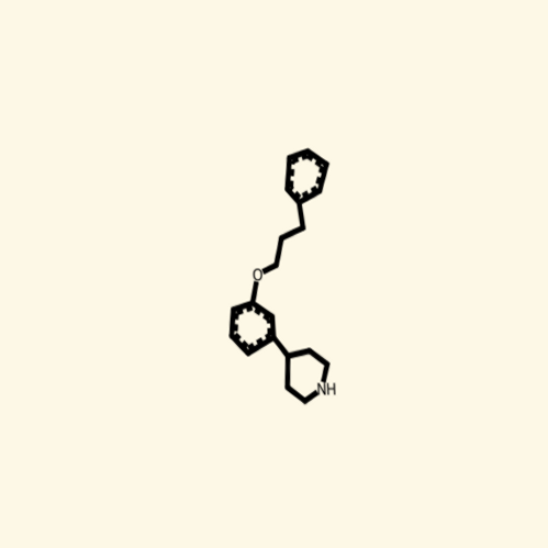 c1ccc(CCCOc2cccc(C3CCNCC3)c2)cc1